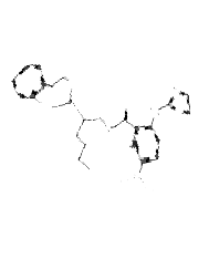 CCCCC(CNC(=O)c1cc([N+](=O)[O-])ccc1Nc1nccs1)C1OCc2ccccc2O1